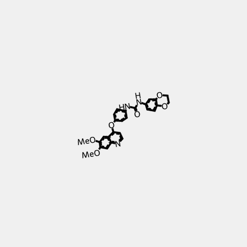 COc1cc2nccc(Oc3ccc(NC(=O)Nc4ccc5c(c4)OCCO5)cc3)c2cc1OC